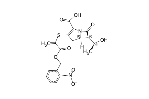 C=C(SC1=C(C(=O)O)N2C(=O)[C@@H]([C@H](C)O)[C@H]2C1)C(=O)OCc1ccccc1[N+](=O)[O-]